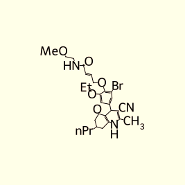 CCCC1CC(=O)C2=C(C1)NC(C)=C(C#N)C2c1cc(Br)c(OCC=CC(=O)NCCOC)c(OCC)c1